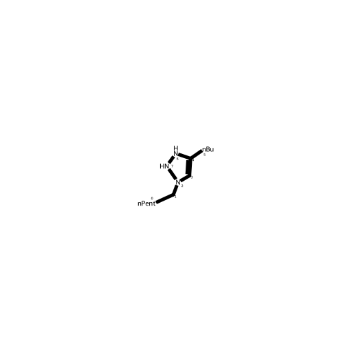 CCCCCCN1C=C(CCCC)NN1